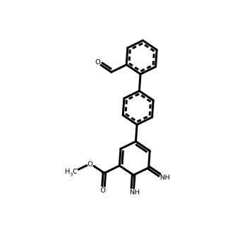 COC(=O)C1=CC(c2ccc(-c3ccccc3C=O)cc2)=CC(=N)C1=N